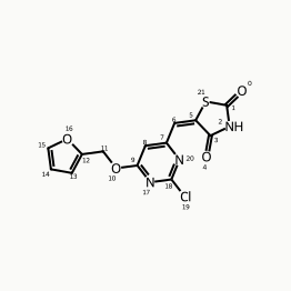 O=C1NC(=O)/C(=C\c2cc(OCc3ccco3)nc(Cl)n2)S1